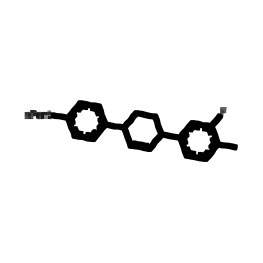 CCCCCc1ccc(C2C=CC(c3ccc(C)c(F)c3)CC2)cc1